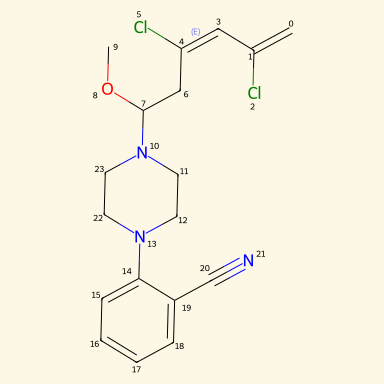 C=C(Cl)/C=C(/Cl)CC(OC)N1CCN(c2ccccc2C#N)CC1